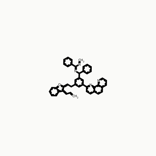 C=C/C=c1\c(=C/Cc2cc(-c3ccc4ccc5cccnc5c4n3)cc(C(/N=C(\N=C)c3ccccc3)c3ccccc3)c2)oc2ccccc12